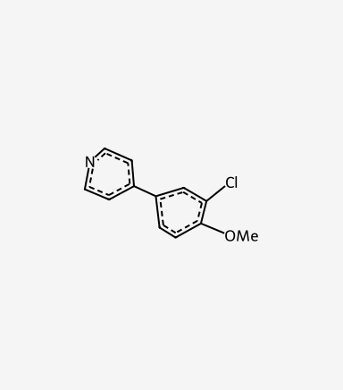 COc1ccc(-c2ccncc2)cc1Cl